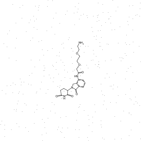 NCCOCCOCC(=O)Nc1cccc2c1CN(C1CCC(=O)NC1=O)C2=O